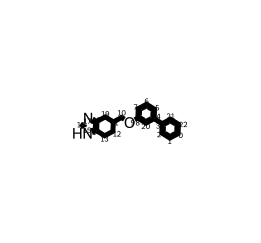 c1ccc(-c2cccc(OCC3CCc4[nH]cnc4C3)c2)cc1